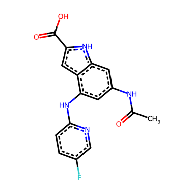 CC(=O)Nc1cc(Nc2ccc(F)cn2)c2cc(C(=O)O)[nH]c2c1